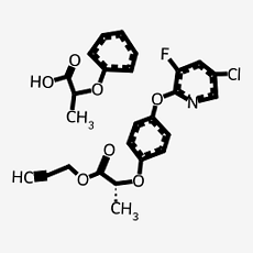 C#CCOC(=O)[C@@H](C)Oc1ccc(Oc2ncc(Cl)cc2F)cc1.CC(Oc1ccccc1)C(=O)O